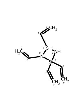 C=CN1[SiH](C=C)N[Si]1(C=C)C=C